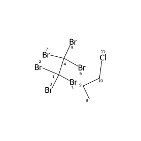 BrC(Br)(Br)C(Br)(Br)Br.CCCCl